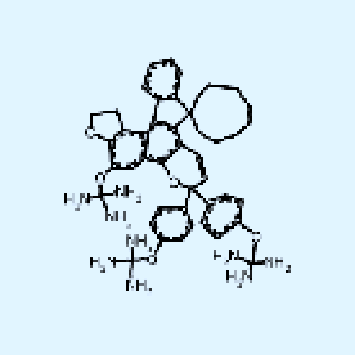 NC(N)(N)Oc1ccc(C2(c3ccc(OC(N)(N)N)cc3)C=Cc3c4c(c5c6c(c(OC(N)(N)N)cc5c3O2)OCC6)-c2ccccc2C42CCCCCCCC2)cc1